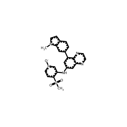 Cn1ccc2ccc(-c3cc(Nc4c[n+]([O-])ccc4S(C)(=O)=O)cc4nccnc34)cc21